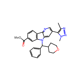 COC(=O)c1ccc2c3ncc(-c4c(C)nnn4C)cc3n(C(c3ccccc3)C3CCOCC3)c2c1